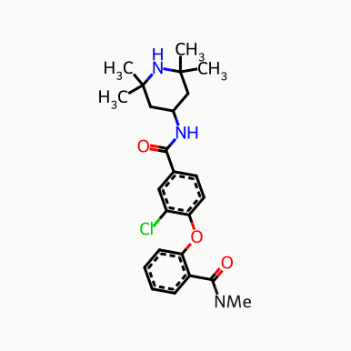 CNC(=O)c1ccccc1Oc1ccc(C(=O)NC2CC(C)(C)NC(C)(C)C2)cc1Cl